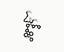 C=C/C=C(\C(C)CC=C/C=C\CC/C=C\C=C/C)N(c1cccc(Cc2ccccc2)c1)c1cccc(-c2cccc(C3=CCC=CC(N(C)C4=CC=CCC4)=C3C3=CC=CC=CC3)c2)c1